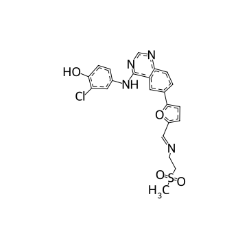 CS(=O)(=O)CC/N=C/c1ccc(-c2ccc3ncnc(Nc4ccc(O)c(Cl)c4)c3c2)o1